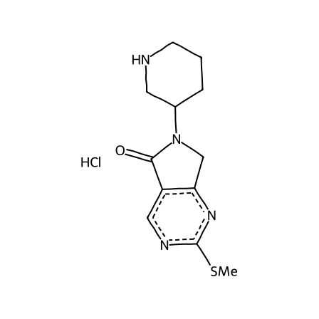 CSc1ncc2c(n1)CN(C1CCCNC1)C2=O.Cl